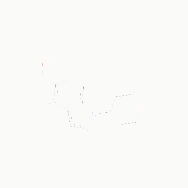 OCc1ccc2c(cnn2C2CCOCC2)n1